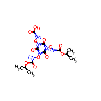 CC(C)OC(=O)NOn1c(=O)n(ONC(=O)O)c(=O)n(ONC(=O)OC(C)C)c1=O